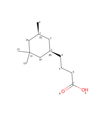 C[C@H]1C[C@@H](CCCC(=O)O)CC(C)(C)C1